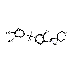 CCC(CC)(c1ccc(O)c(C)c1)c1ccc(/C=C/C2(O)CCSCC2)c(C)c1